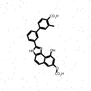 Cc1cc(-c2cccc(-c3nc4c(ccc5cc(OC(=O)O)cc(O)c54)[nH]3)c2)ccc1C(=O)O